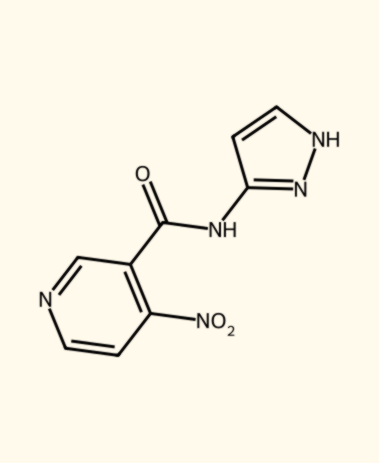 O=C(Nc1cc[nH]n1)c1cnccc1[N+](=O)[O-]